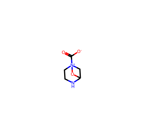 O=C([O-])[N+]12CCNC(C1)O2